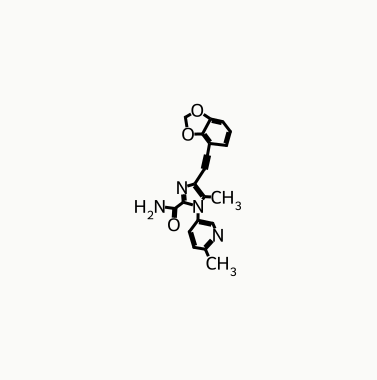 Cc1ccc(-n2c(C(N)=O)nc(C#Cc3cccc4c3OCO4)c2C)cn1